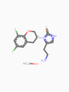 NCCc1c[nH]c(=S)n1[C@H]1COc2c(F)cc(F)cc2C1.O=S(=O)(O)O